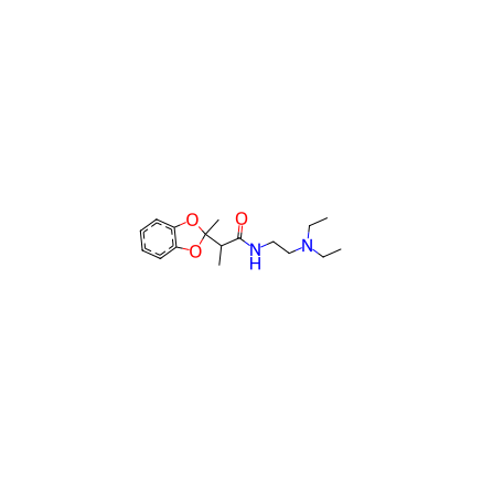 CCN(CC)CCNC(=O)C(C)C1(C)Oc2ccccc2O1